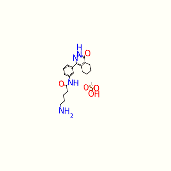 CS(=O)(=O)O.NCCCCC(=O)Nc1cccc(-c2n[nH]c(=O)c3c2CCCC3)c1